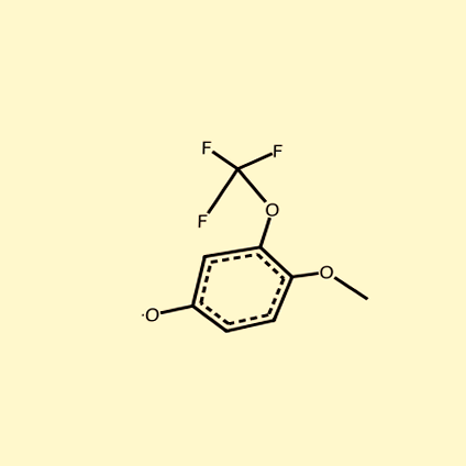 COc1ccc([O])cc1OC(F)(F)F